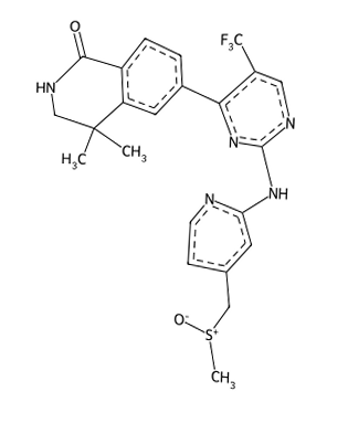 C[S+]([O-])Cc1ccnc(Nc2ncc(C(F)(F)F)c(-c3ccc4c(c3)C(C)(C)CNC4=O)n2)c1